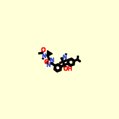 CC(=O)N(C)C1(c2nc(-c3cccc([C@@](O)(c4ccc(C(C)C)cc4)C4(C)CN(C)C4)c3)no2)CC1